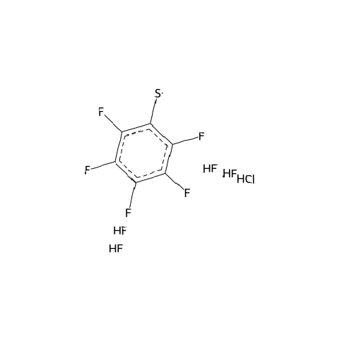 Cl.F.F.F.F.Fc1c(F)c(F)c([S])c(F)c1F